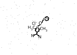 CC1=CC(=C(C#N)C#N)C=C(C)N1CCOCC[n+]1ccccc1.[Cl-]